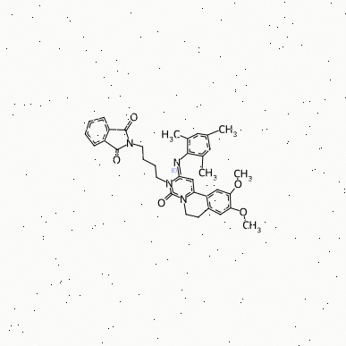 COc1cc2c(cc1OC)-c1c/c(=N\c3c(C)cc(C)cc3C)n(CCCCN3C(=O)c4ccccc4C3=O)c(=O)n1CC2